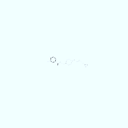 O=C(NCC1CCN(CCNS(=O)(=O)C2CC2)CC1)c1ccc(F)c(Cl)c1